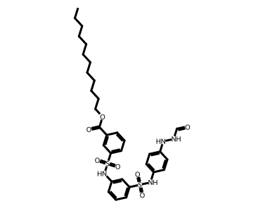 CCCCCCCCCCCCOC(=O)c1cccc(S(=O)(=O)Nc2cccc(S(=O)(=O)Nc3ccc(NNC=O)cc3)c2)c1